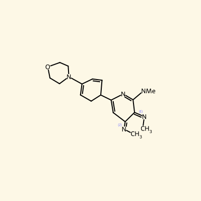 C/N=C1/C=C(C2C=CC(N3CCOCC3)=CC2)N=C(NC)/C1=N/C